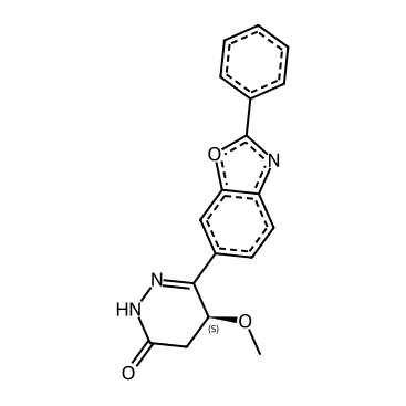 CO[C@H]1CC(=O)NN=C1c1ccc2nc(-c3ccccc3)oc2c1